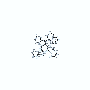 c1ccc(-n2c3ccccc3c3c4c5ccccc5oc4c4c5ccccc5n(-c5ccccn5)c4c32)cc1